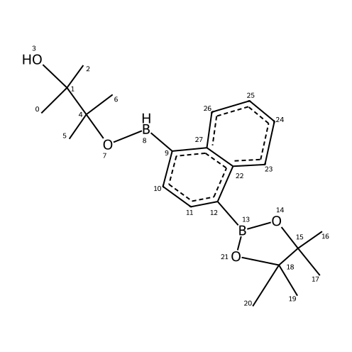 CC(C)(O)C(C)(C)OBc1ccc(B2OC(C)(C)C(C)(C)O2)c2ccccc12